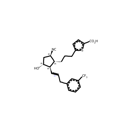 [C-]#[N+][C@@H]1C[C@@H](O)[C@H](/C=C/Cc2cccc(C(F)(F)F)c2)[C@H]1CCCc1ccc(C(=O)O)s1